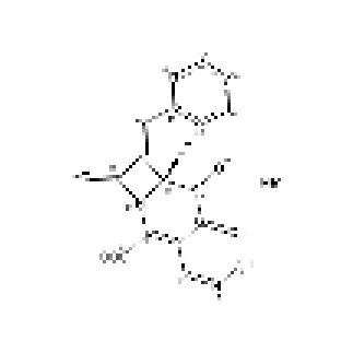 O=C([O-])C1=C(/C=N\O)C(=O)[S+]([O-])[C@H]2/C(=C\c3ccccn3)C(=O)N12.[Na+]